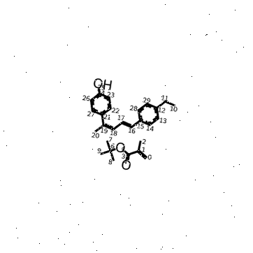 C=C(C)C(=O)OC(C)(C)C.CCc1ccc(C=CC=C(C)c2ccc(O)cc2)cc1